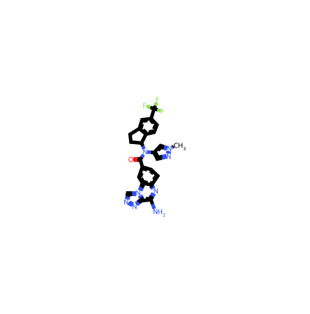 Cn1cc(N(C(=O)c2ccc3nc(N)c4nncn4c3c2)C2CCc3cc(C(F)(F)F)ccc32)cn1